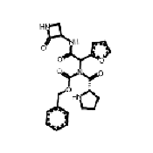 O=C1NCC1NC(=O)C(c1ccco1)N(C(=O)OCc1ccccc1)C(=O)[C@@H]1CCCN1